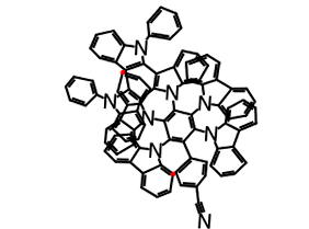 N#Cc1ccc(-c2c(-n3c4ccccc4c4ccccc43)c(-n3c4ccccc4c4ccccc43)c(-n3c4ccccc4c4c5c(c6ccccc6n5-c5ccccc5)c5c(c6ccccc6n5-c5ccccc5)c43)c(-n3c4ccccc4c4ccccc43)c2-n2c3ccccc3c3ccccc32)cc1